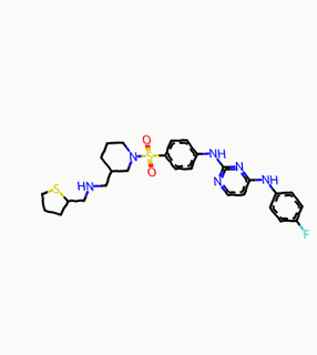 O=S(=O)(c1ccc(Nc2nccc(Nc3ccc(F)cc3)n2)cc1)N1CCCC(CNCC2CCCS2)C1